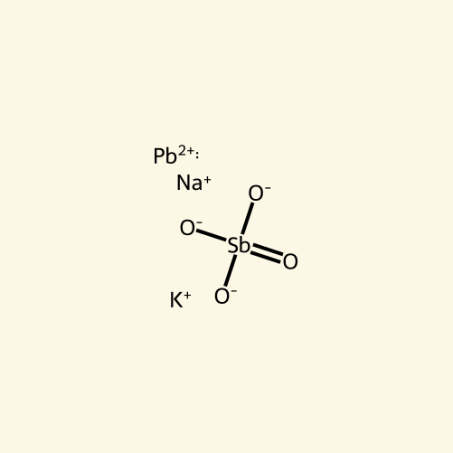 [K+].[Na+].[O]=[Sb]([O-])([O-])[O-].[Pb+2]